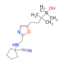 CC(C)(CCc1cnc(CNC2(C#N)CCCC2)o1)[Si](C)(C)O